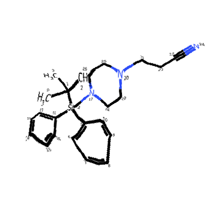 CC(C)(C)[Si](c1ccccc1)(c1ccccc1)N1CCN(CCC#N)CC1